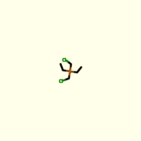 CCS(CC)(CCl)CCl